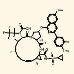 COc1ccc2c(O[C@@H]3C[C@H]4C(=O)N[C@]5(C(=O)NS(=O)(=O)C6CC6)C[C@H]5/C=C\CC[C@H](C)C[C@@H](C)[C@H](N(C(=O)O)C(C)(C)C(F)(F)F)C(=O)N4C3)nc(-c3ccc(OC)c(F)c3)cc2c1